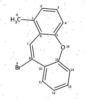 Cc1cccc2c1C=C(Br)c1ccccc1O2